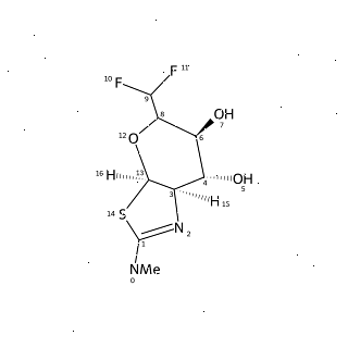 CNC1=N[C@@H]2[C@@H](O)[C@H](O)C(C(F)F)O[C@@H]2S1